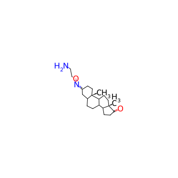 C[C@]12CCC(=NOCCN)CC1CCC1C2CC[C@]2(C)C(=O)CCC12